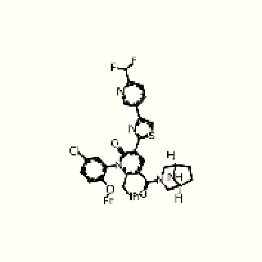 CCOc1ccc(Cl)cc1-n1c(CC(C)C)c(C(=O)N2C[C@H]3CC[C@@H](C2)N3)cc(-c2nc(-c3ccc(C(F)F)nc3)cs2)c1=O